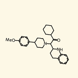 COc1ccc(C2CCN(C(C(=O)C3CCCCC3)C3CCc4ccccc4N3)CC2)cc1